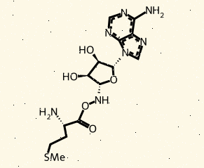 CSCC[C@H](N)C(=O)ON[C@H]1O[C@@H](n2cnc3c(N)ncnc32)[C@H](O)[C@@H]1O